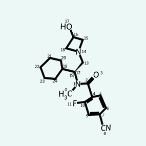 CN(C(=O)c1ccc(C#N)cc1F)[C@H](CN1CC(O)C1)C1CCCCC1